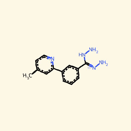 Cc1ccnc(-c2cccc(/C(=N/N)NN)c2)c1